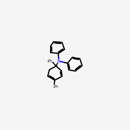 CC(C)C1=CCC(C(C)C)(N(c2ccccc2)c2ccccc2)C=C1